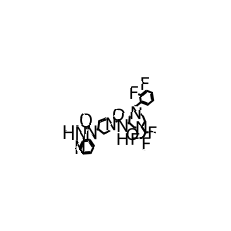 O=C(NC1CN(Cc2cccc(F)c2F)CCN(C(F)C(F)F)C1=O)N1CCC(n2c(=O)[nH]c3ncccc32)CC1